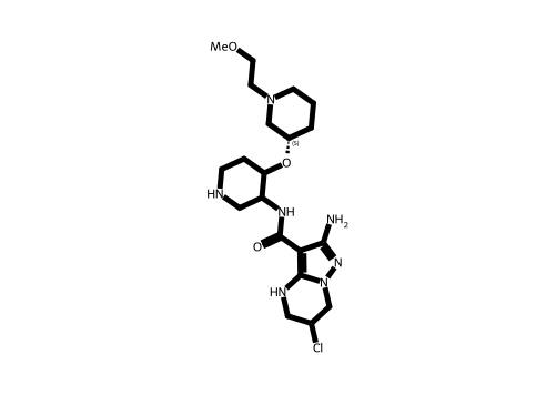 COCCN1CCC[C@H](OC2CCNCC2NC(=O)c2c(N)nn3c2NCC(Cl)C3)C1